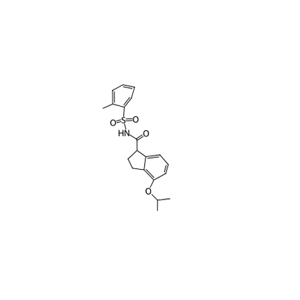 Cc1ccccc1S(=O)(=O)NC(=O)C1CCc2c(OC(C)C)cccc21